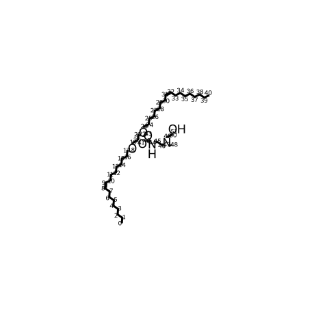 CCCCCCCC/C=C\CCCCCCCCOCC(COCCCCCCCC/C=C\CCCCCCCC)OC(=O)NCCN(C)CCO